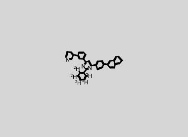 [2H]c1c([2H])c([2H])c(-c2nc(-c3ccc(-c4ccc5ccccc5c4)cc3)cc(-c3cccc(-c4cccnc4)c3)n2)c([2H])c1[2H]